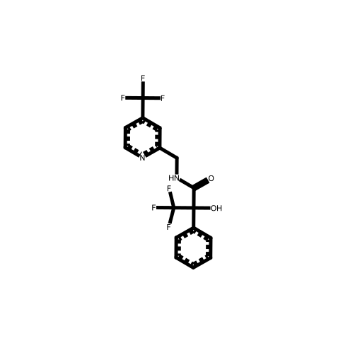 O=C(NCc1cc(C(F)(F)F)ccn1)C(O)(c1ccccc1)C(F)(F)F